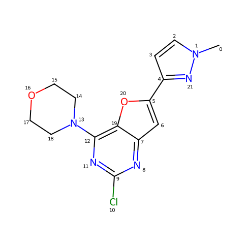 Cn1ccc(-c2cc3nc(Cl)nc(N4CCOCC4)c3o2)n1